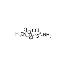 CN(Cc1ccc(CSCCN)o1)C(=O)OCC(Cl)(Cl)Cl